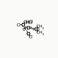 CC1CN(CCN2CCN(C(=O)c3cc(Cl)cc(Cl)c3)[C@H](Cc3ccc(Cl)cc3)C2)CC(C)O1.Cl.Cl